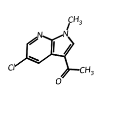 CC(=O)c1cn(C)c2ncc(Cl)cc12